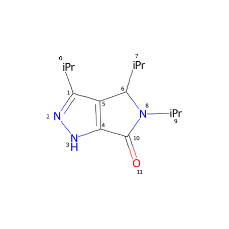 CC(C)c1n[nH]c2c1C(C(C)C)N(C(C)C)C2=O